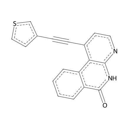 O=c1[nH]c2nccc(C#Cc3ccsc3)c2c2ccccc12